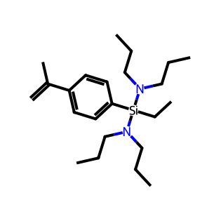 C=C(C)c1ccc([Si](CC)(N(CCC)CCC)N(CCC)CCC)cc1